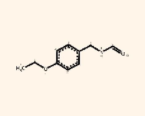 CCOc1ccc(CN[C]=O)cc1